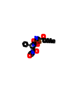 COC(=O)c1cnc(S(=O)(=O)N2CC(c3ccccc3)C[C@H](C(=O)N3CCOCC3)C2)s1